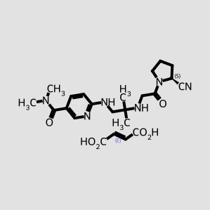 CN(C)C(=O)c1ccc(NCC(C)(C)NCC(=O)N2CCC[C@H]2C#N)nc1.O=C(O)/C=C/C(=O)O